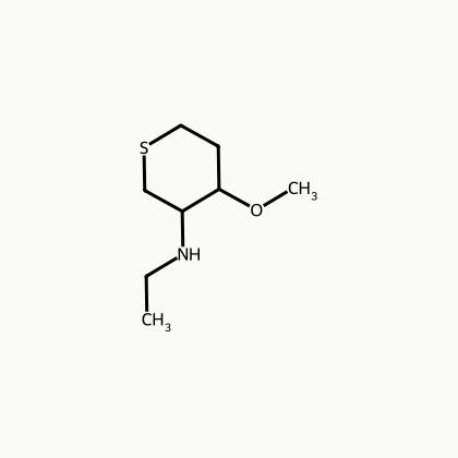 CCNC1CSCCC1OC